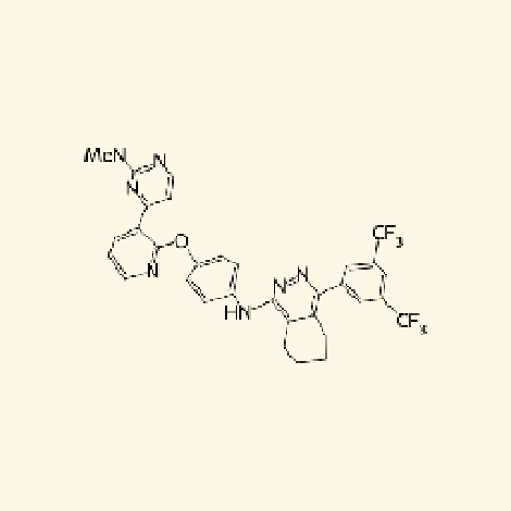 CNc1nccc(-c2cccnc2Oc2ccc(Nc3nnc(-c4cc(C(F)(F)F)cc(C(F)(F)F)c4)c4c3CCCC4)cc2)n1